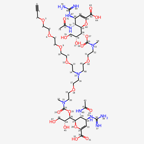 C#CCOCCOCCOCCOCCN(CCOCCN(C)C(=O)O[C@@H]([C@@H]1OC(C(=O)O)=C[C@H](NC(=N)N)[C@H]1NC(C)=O)[C@H](O)CO)CCOCCN(C)C(=O)O[C@@H]([C@@H]1OC(C(=O)O)=C[C@H](NC(=N)N)[C@H]1NC(C)=O)[C@H](O)CO